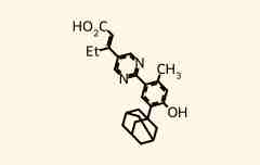 CC/C(=C\C(=O)O)c1cnc(-c2cc(C34CC5CC(CC(C5)C3)C4)c(O)cc2C)nc1